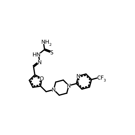 NC(=S)NN=Cc1ccc(CN2CCN(c3ccc(C(F)(F)F)cn3)CC2)o1